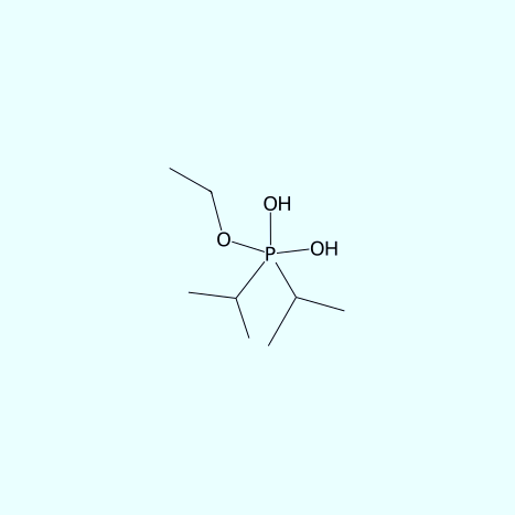 CCOP(O)(O)(C(C)C)C(C)C